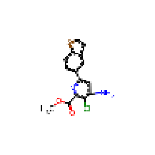 COC(=O)c1nc(-c2ccc3sccc3c2)cc(N)c1Cl